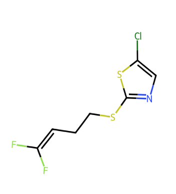 FC(F)=CCCSc1ncc(Cl)s1